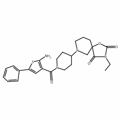 CCN1C(=O)OC2(CCCN(C3CCN(C(=O)c4cc(-c5ccccc5)sc4N)CC3)C2)C1=O